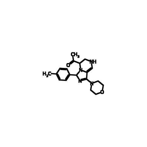 CC(=O)C1CNC=C2C(N3CCOCC3)=NC(c3ccc(C)cc3)N21